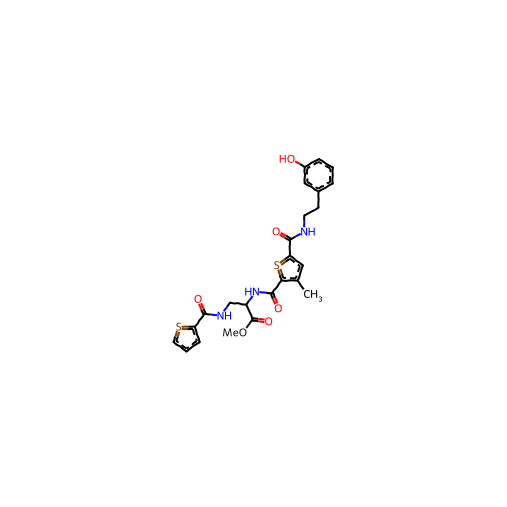 COC(=O)C(CNC(=O)c1cccs1)NC(=O)c1sc(C(=O)NCCc2cccc(O)c2)cc1C